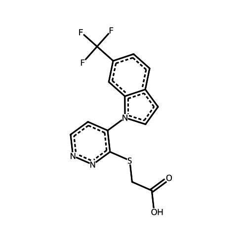 O=C(O)CSc1nnccc1-n1ccc2ccc(C(F)(F)F)cc21